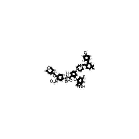 CC1(C)CCC(CN2CCN(c3ccc(C(=O)N[S+]([O-])c4ccc(OCC5(F)CCOCC5)c([N+](=O)[O-])c4)c(Oc4cc(F)cc5[nH]ncc45)c3)CC2)=C(c2ccc(Cl)cc2)C1